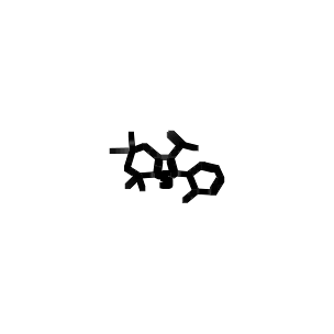 C=C(C)c1c(C2C=CC=CC2C)sc2c1CC(C)(C)CC2(C)C